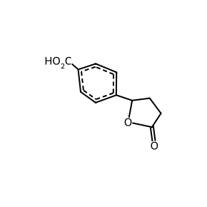 O=C1CCC(c2ccc(C(=O)O)cc2)O1